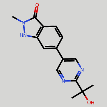 Cn1[nH]c2cc(-c3cnc(C(C)(C)O)nc3)ccc2c1=O